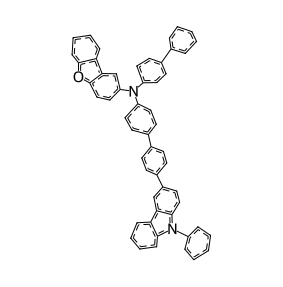 c1ccc(-c2ccc(N(c3ccc(-c4ccc(-c5ccc6c(c5)c5ccccc5n6-c5ccccc5)cc4)cc3)c3ccc4oc5ccccc5c4c3)cc2)cc1